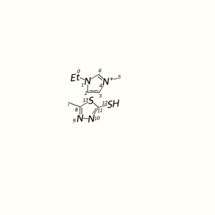 CCn1cc[n+](C)c1.Cc1nnc(S)s1